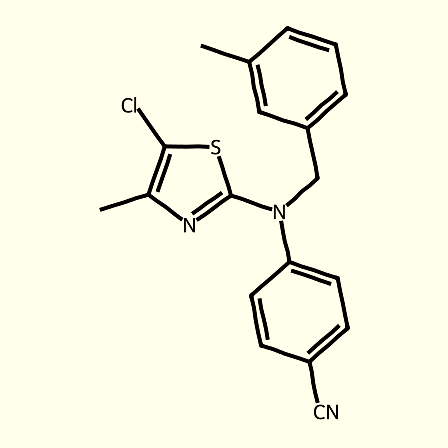 Cc1cccc(CN(c2ccc(C#N)cc2)c2nc(C)c(Cl)s2)c1